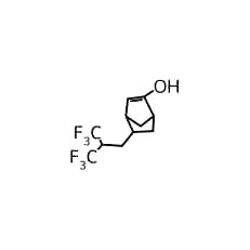 OC1=CC2CC1CC2CC(C(F)(F)F)C(F)(F)F